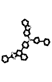 c1ccc(-c2ccc(N(c3ccc(-c4cc5oc(-c6ccccc6)nc5c5ccccc45)cc3)c3ccc4c(c3)sc3ccccc34)cc2)cc1